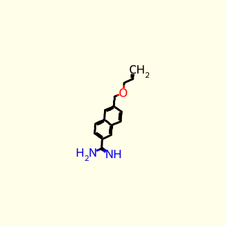 C=CCOCc1ccc2cc(C(=N)N)ccc2c1